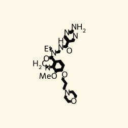 C=Nc1c(C(=O)N(CC)CNC(=O)c2cnc(N)nc2)ccc(OCCCN2CCOCC2)c1OC